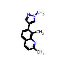 Cc1ccc2ccc(-c3cnn(C)c3)c(C)c2n1